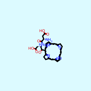 N[C@@H](CC(=O)O)C(=O)N[C@@H](CC(=O)O)C(=O)c1c2nc(cc3ccc(cc4nc(cc5ccc1[nH]5)CC4)[nH]3)CC2